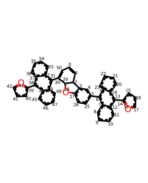 C1=CC2c3cc(-c4c5ccccc5c(-c5ccco5)c5ccccc45)ccc3OC2C(c2c3ccccc3c(-c3ccco3)c3ccccc23)=C1